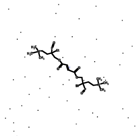 CCC(CC[N+](C)(C)C)(COC(=O)/C=C/C(=O)OCC(CC)(CC[N+](C)(C)C)P=O)P=O